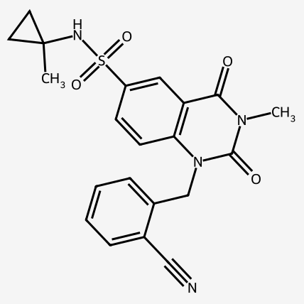 Cn1c(=O)c2cc(S(=O)(=O)NC3(C)CC3)ccc2n(Cc2ccccc2C#N)c1=O